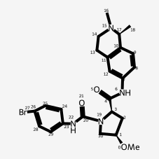 CO[C@@H]1C[C@H](C(=O)Nc2ccc3c(c2)CCN(C)[C@H]3C)N(C(=O)Nc2ccc(Br)cc2)C1